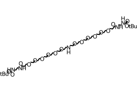 CC(C)(C)OC(=O)NCCNC(=O)CCOCCOCCOCCOCCOCCOCCNCCOCCOCCOCCOCCOCCOCCC(=O)NCCNC(=O)OC(C)(C)C